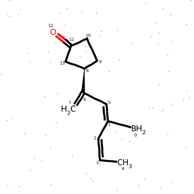 BC(/C=C\C)=C/C(=C)[C@@H]1CCC(=O)C1